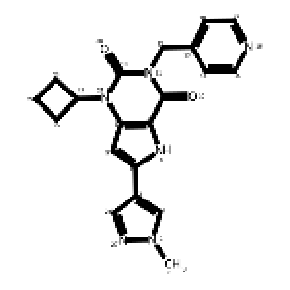 Cn1cc(-c2cc3c([nH]2)c(=O)n(Cc2ccncc2)c(=O)n3C2CCC2)cn1